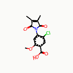 COc1cc(N2C(=O)C(C)=C(C)C2=O)c(Cl)cc1C(=O)O